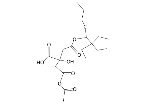 CCCCC(OC(=O)CC(O)(CC(=O)OC(C)=O)C(=O)O)C(CC)(CC)CC